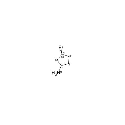 NC1CC[C@H](F)C1